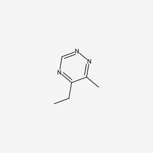 CCc1ncnnc1C